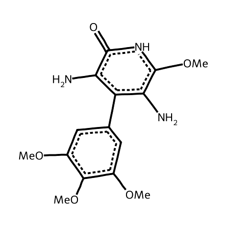 COc1cc(-c2c(N)c(OC)[nH]c(=O)c2N)cc(OC)c1OC